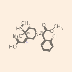 C=[SH][C@]1(C)CCN([C@H](C(=O)OC)c2ccccc2Cl)C/C1=C/C(=O)O